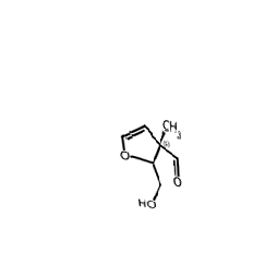 C[C@]1(C=O)C=COC1CO